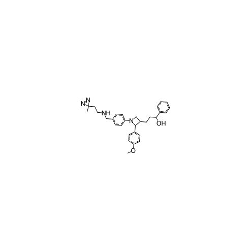 COc1ccc(C2C(CCC(O)c3ccccc3)CN2c2ccc(CNCCC3(C)N=N3)cc2)cc1